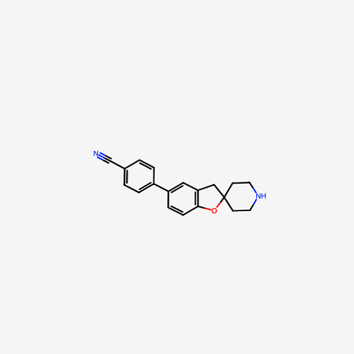 N#Cc1ccc(-c2ccc3c(c2)CC2(CCNCC2)O3)cc1